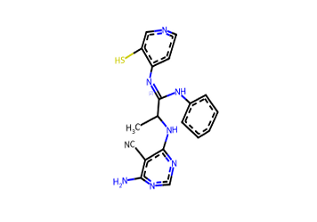 CC(Nc1ncnc(N)c1C#N)/C(=N/c1ccncc1S)Nc1ccccc1